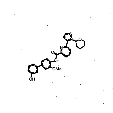 COc1cc(-c2cccc(O)c2)ccc1NC(=O)c1cccc(-c2ccnn2C2CCCCO2)n1